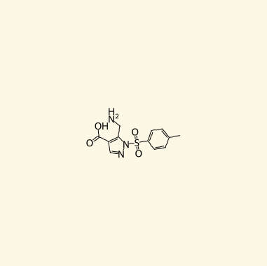 Cc1ccc(S(=O)(=O)n2ncc(C(=O)O)c2CN)cc1